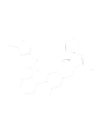 CCCCC1=NC2(CCCC2)C(=O)N1Cc1ccc(-c2ccccc2S(=O)(=O)Nc2onc(C)c2C)c(CC)c1